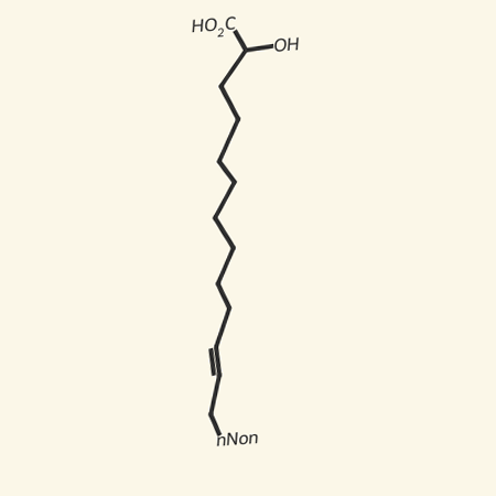 CCCCCCCCCCC=CCCCCCCCCC(O)C(=O)O